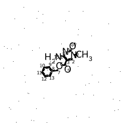 Cn1cc(C(=O)OCc2ccccc2)c(N)nc1=O